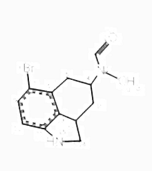 CN(C=O)C1Cc2c(Br)ccc3c2C(CN3)C1